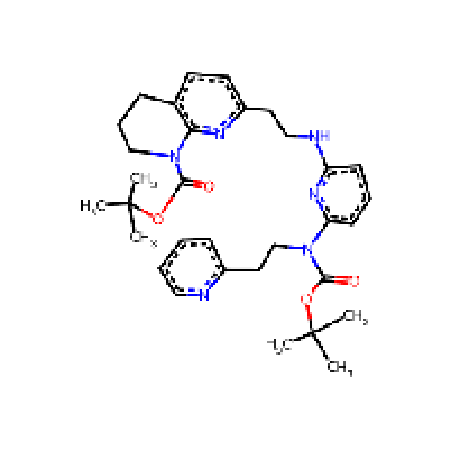 CC(C)(C)OC(=O)N(CCc1ccccn1)c1cccc(NCCc2ccc3c(n2)N(C(=O)OC(C)(C)C)CCC3)n1